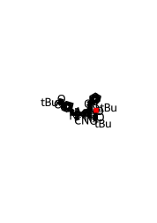 CC(C)(C)OC(=O)N1CCC(n2cc(-c3cnc(N(C(=O)OC(C)(C)C)C(=O)OC(C)(C)C)c(-c4nc5ccccc5o4)c3)c(C#N)n2)CC1